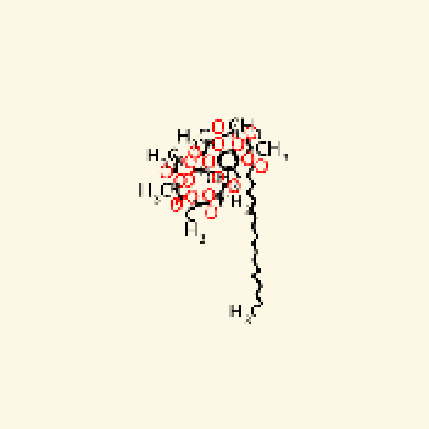 CCCCCCCCCCCCCCCCCC(=O)O[C@@H](C)C(=O)O[C@H](C)C(=O)O[C@H](C)C(=O)O[C@H](C)C(=O)O[C@H](C)C(=O)O[C@H](C)C(=O)O[C@H](C)C(=O)O[C@H](C)C(=O)OCc1ccccc1